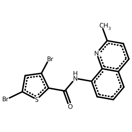 Cc1ccc2cccc(NC(=O)c3sc(Br)cc3Br)c2n1